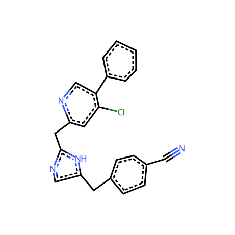 N#Cc1ccc(Cc2cnc(Cc3cc(Cl)c(-c4ccccc4)cn3)[nH]2)cc1